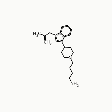 C=C(C)Cn1cc(C2CCN(CCCCN)CC2)c2ccccc21